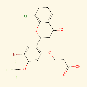 O=C(O)CCOc1cc(OC(F)(F)F)c(Br)cc1C1CC(=O)c2cccc(Cl)c2O1